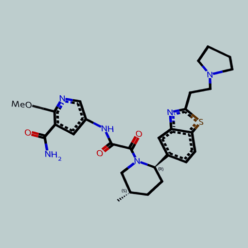 COc1ncc(NC(=O)C(=O)N2C[C@@H](C)CC[C@@H]2c2ccc3sc(CCN4CCCC4)nc3c2)cc1C(N)=O